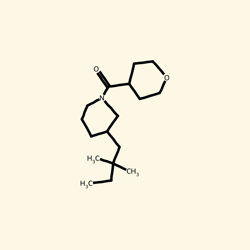 CCC(C)(C)CC1CCCN(C(=O)C2CCOCC2)C1